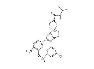 CC(C)NC(=O)N1CC[C@@]2(CCn3nc(-c4cnc(N)c(O[C@H](C)c5cccc(Cl)c5)c4)cc32)C1